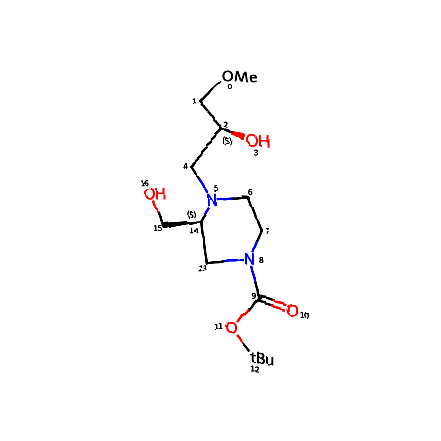 COC[C@@H](O)CN1CCN(C(=O)OC(C)(C)C)C[C@H]1CO